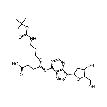 CC(C)(C)OC(=O)NCCCOC(CCC(=O)O)=Nc1ncnc2c1ncn2C1CC(O)C(CO)O1